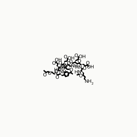 CC(=O)COCCNC(=O)[C@H](Cc1ccc(C(C)=O)cc1)NC(=O)[C@@H](CCC(=O)O)NC(=O)[C@@H](CCC(=O)O)NC(=O)[C@@H](CCC(=O)O)NC(=O)[C@@H](CCC(=O)O)CC(=O)[C@@H](CCC(=O)O)NC(=O)[C@@H](CCCCN)NC(C)=O